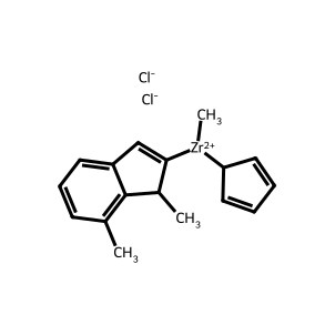 Cc1cccc2c1C(C)[C]([Zr+2]([CH3])[CH]1C=CC=C1)=C2.[Cl-].[Cl-]